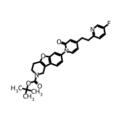 CC(C)(C)OC(=O)N1CCc2oc3cc(-n4ccc(CCc5ccc(F)cn5)cc4=O)ccc3c2C1